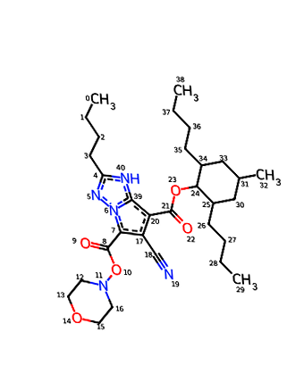 CCCCc1nn2c(C(=O)ON3CCOCC3)c(C#N)c(C(=O)OC3C(CCCC)CC(C)CC3CCCC)c2[nH]1